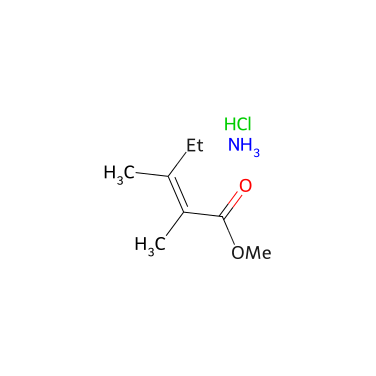 CCC(C)=C(C)C(=O)OC.Cl.N